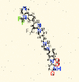 O=C1CCC(N2Cc3cc(N4CCN(CCC5CCN(c6ncc(-c7ccc8c9cnccc9n(C(F)F)c8c7)cc6C(F)(F)F)CC5)CC4)ccc3C2=O)C(=O)N1